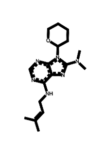 CC(C)=CCNc1ncnc2c1nc(N(C)C)n2C1CCCCO1